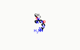 CCCO/N=C(\c1ccccn1)C1CCN(C(=O)C2CCN(Cc3cnc(N)nc3)CC2)CC1